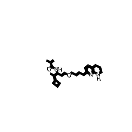 CC(=C1CCC1)C(CCOCCCCc1ccc2c(n1)NCCC2)NC(=O)C(C)C